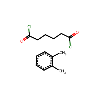 Cc1ccccc1C.O=C(Cl)CCCCC(=O)Cl